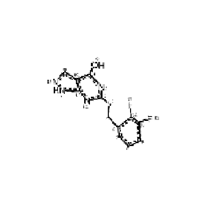 Oc1nc(SCc2cccc(F)c2F)nc2[nH]ncc12